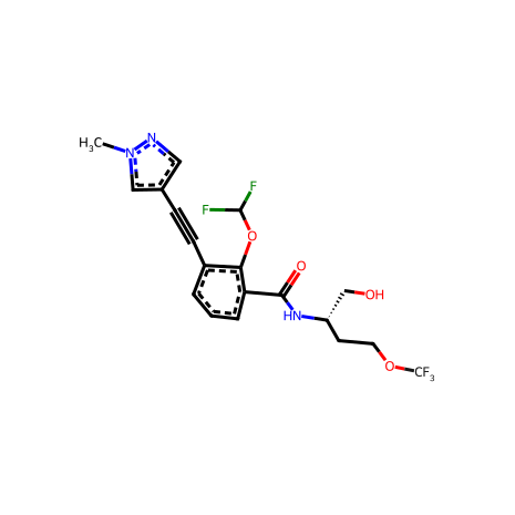 Cn1cc(C#Cc2cccc(C(=O)N[C@H](CO)CCOC(F)(F)F)c2OC(F)F)cn1